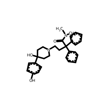 CN(C)C(=O)C(CCN1CCC(O)(c2ccc(O)cc2)CC1)(c1ccccc1)c1ccccc1